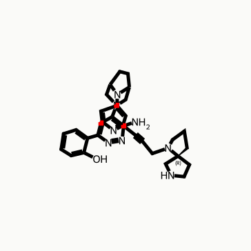 Nc1nnc(-c2ccccc2O)cc1N1CC2CCC(C1)N2c1ccnc(C#CCN2CCC[C@]23CCNC3)c1